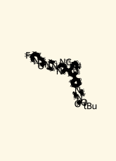 CC(C)(C)OC(=O)N1CCN(c2ccc(-c3cc(-c4ccc(N5CCN(C(=O)Cc6ccc(F)cn6)CC5)nc4)c4c(C#N)cnn4c3)cc2)CC1